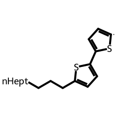 CCCCCCCCCCc1ccc(-c2cc[c]s2)s1